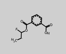 C[CH]C(F)OC(=O)c1cccc(C(=O)O)c1